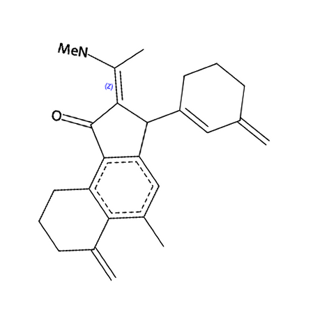 C=C1C=C(C2/C(=C(\C)NC)C(=O)c3c2cc(C)c2c3CCCC2=C)CCC1